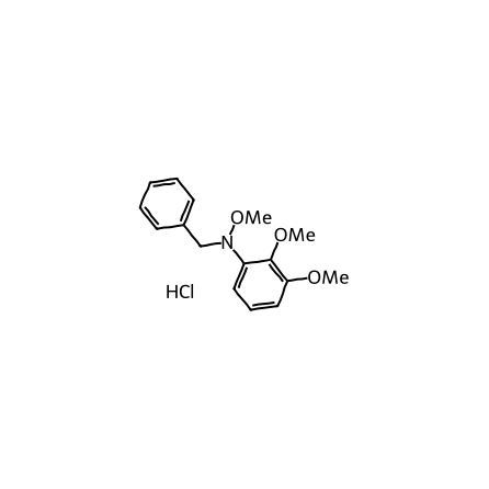 COc1cccc(N(Cc2ccccc2)OC)c1OC.Cl